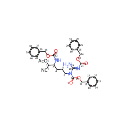 CC(=O)OC(C#N)C(CCCN(C(=O)OCc1ccccc1)C(N)=NC(=O)OCc1ccccc1)NC(=O)OCc1ccccc1